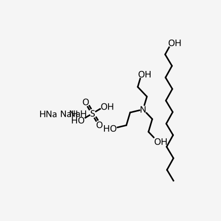 CCCCCCCCCCCCO.O=S(=O)(O)O.OCCN(CCO)CCO.[NaH].[NaH].[NaH]